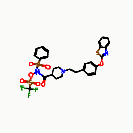 O=C(C1CCN(CCc2ccc(Oc3nc4ccccc4s3)cc2)CC1)N(OS(=O)(=O)C(F)(F)F)S(=O)(=O)c1ccccc1